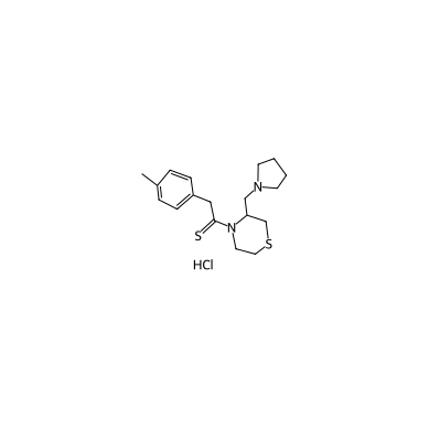 Cc1ccc(CC(=S)N2CCSCC2CN2CCCC2)cc1.Cl